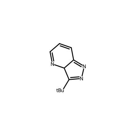 CC(C)(C)C1=NN=C2C=CC=NC21